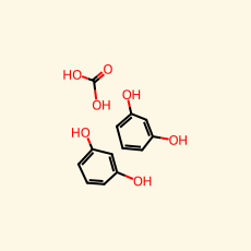 O=C(O)O.Oc1cccc(O)c1.Oc1cccc(O)c1